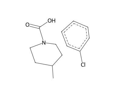 CC1CCN(C(=O)O)CC1.Clc1ccccc1